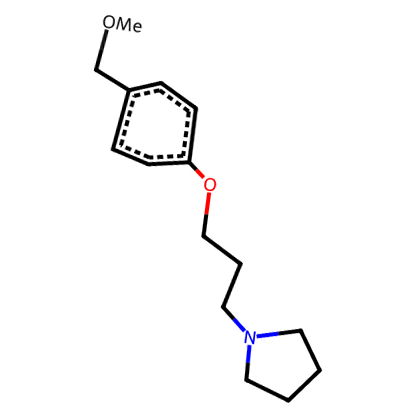 COCc1ccc(OCCCN2CCCC2)cc1